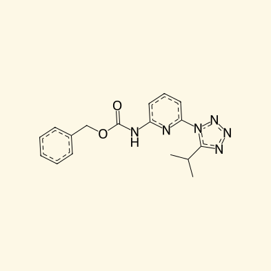 CC(C)c1nnnn1-c1cccc(NC(=O)OCc2ccccc2)n1